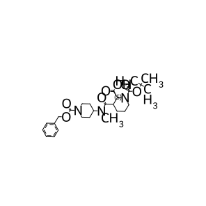 CN(C(=O)C1CCCN(C(=O)OC(C)(C)C)[C@@H]1C(=O)O)C1CCN(C(=O)OCc2ccccc2)CC1